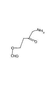 NCC(=O)CCOC=O